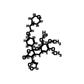 COc1cc(CC2=C(C3=CCOO3)C(=O)OC2(O)c2ccc(OCCN3CCOCC3)cc2)cc(OC)c1OC